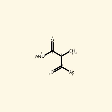 COC(=O)C(C)C(=O)C(C)=O